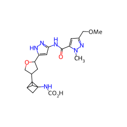 COCc1cc(C(=O)Nc2cc(C3CC(C4C5CC4(NC(=O)O)C5)CO3)[nH]n2)n(C)n1